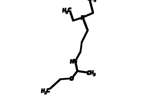 CCOC(C)NCCCN(CC)CC